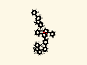 CC1(C)c2cc(-c3ccccc3)ccc2-c2ccc(N(c3ccc(-c4ccccc4)cc3)c3ccccc3-c3cccc(-c4ccc5c6ccccc6n(-c6cccc7c6-c6ccccc6C7(C)C)c5c4)c3)cc21